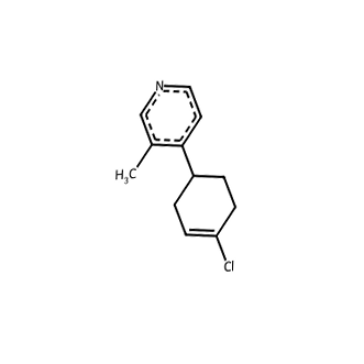 Cc1cnccc1C1CC=C(Cl)CC1